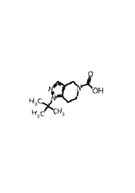 CC(C)(C)n1ncc2c1CCN(C(=O)O)C2